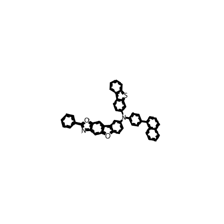 c1ccc(-c2nc3cc4oc5ccc(N(c6ccc(-c7cccc8ccccc78)cc6)c6ccc7c(c6)sc6ccccc67)cc5c4cc3o2)cc1